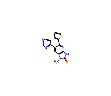 Cn1c(=O)[nH]c2nc(-c3ccco3)c(-c3ccncn3)cc21